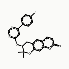 CC1(C)Oc2cc3oc(=O)ccc3cc2C[C@@H]1Oc1cc(-c2ccc(F)cc2)ncn1